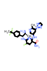 Cc1ncc(Nc2nc(N[C@H](c3ccc(C(C)(F)F)cc3)[C@H](C)N)c(F)cc2C(N)=O)cc1-n1nccn1